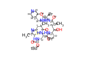 Cc1csc(CC(C)C(=O)NC(CNC(=O)OC(C)(C)C)C(=O)NC(CC(C)C)C(O)CC(C)C(=O)NC(C(=O)NCc2ccncc2)C(C)C)n1